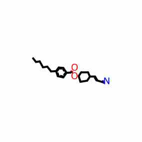 CCCCCCc1ccc(C(=O)OC2CCC(C=CC#N)CC2)cc1